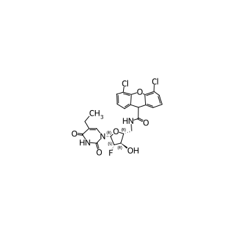 CCc1cn([C@@H]2O[C@H](CNC(=O)C3c4cccc(Cl)c4Oc4c(Cl)cccc43)[C@@H](O)[C@@H]2F)c(=O)[nH]c1=O